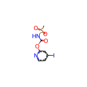 CS(=O)(=O)NC(=O)Oc1cc(I)ccn1